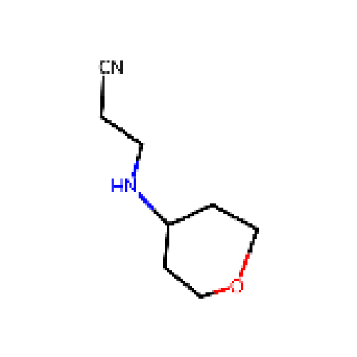 N#CCCNC1CCOCC1